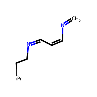 C=N/C=C\C=N/CCC(C)C